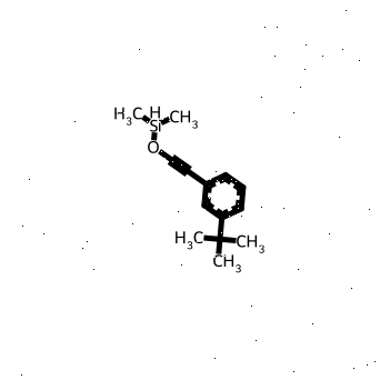 C[SiH](C)OC#Cc1cccc(C(C)(C)C)c1